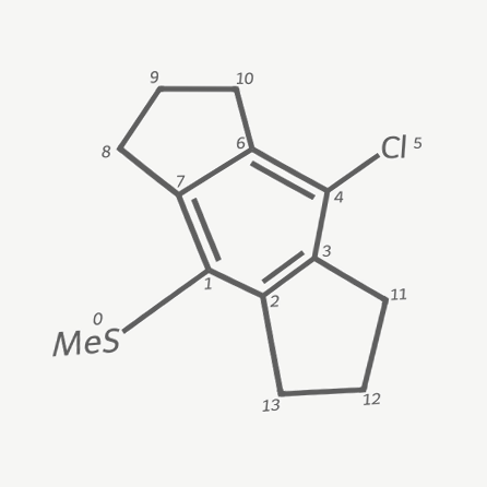 CSc1c2c(c(Cl)c3c1CCC3)CCC2